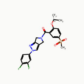 C[C@H](Oc1ccc(S(C)(=O)=O)cc1C(=O)N1Cc2cn(-c3ccc(F)c(F)c3)nc2C1)C(F)(F)F